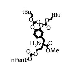 CCCCCOC(=O)OCC[C@@](N)(Cc1ccc(OC(=O)OCC(C)(C)C)c(OC(=O)OCC(C)(C)C)c1)C(=O)OC